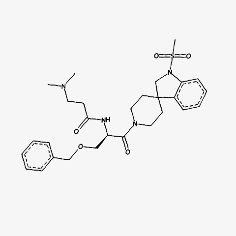 CN(C)CCC(=O)N[C@H](COCc1ccccc1)C(=O)N1CCC2(CC1)CN(S(C)(=O)=O)c1ccccc12